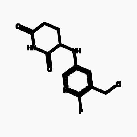 O=C1CCC(Nc2cnc(F)c(CCl)c2)C(=O)N1